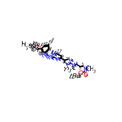 CN(CCCN(C)c1ncc(-c2ccnc(Nc3cccc(CO[Si](C)(C)C(C)(C)C)c3)n2)cn1)C(=O)OC(C)(C)C